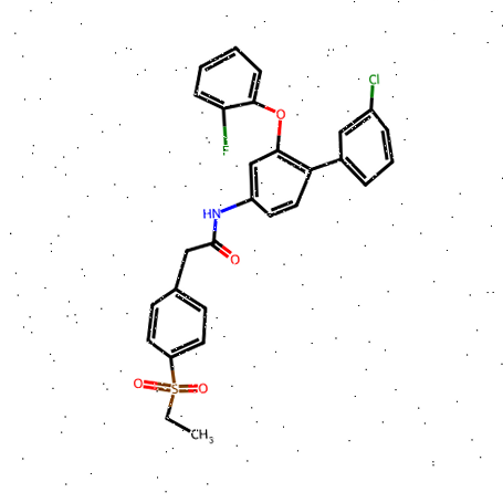 CCS(=O)(=O)c1ccc(CC(=O)Nc2ccc(-c3cccc(Cl)c3)c(Oc3ccccc3F)c2)cc1